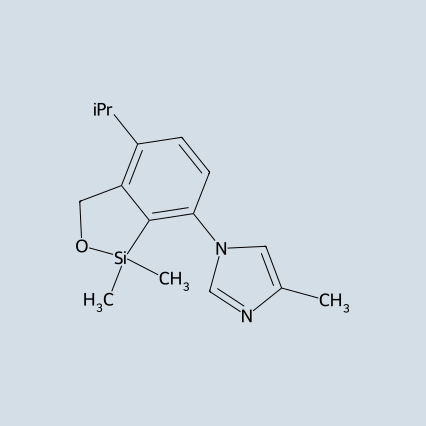 Cc1cn(-c2ccc(C(C)C)c3c2[Si](C)(C)OC3)cn1